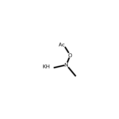 CC(=O)ON(C)C.[KH]